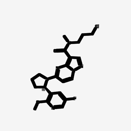 COc1ncc(F)cc1[C@H]1CCCN1c1ccn2ncc(C(=O)N(C)CCCCl)c2n1